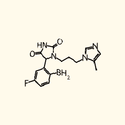 Bc1ccc(F)cc1C1C(=O)NC(=O)N1CCCn1cncc1C